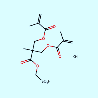 C=C(C)C(=O)OCC(C)(COC(=O)C(=C)C)C(=O)OCS(=O)(=O)O.[KH]